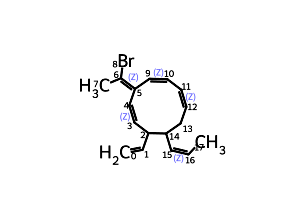 C=CC1\C=C/C(=C(\C)Br)/C=C\C=C/CC1/C=C\C